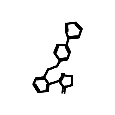 c1ccc(-c2ccc(CCc3ccccc3C3=NCCN3)cc2)cc1